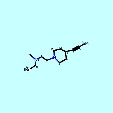 CC(C)C#CC1CCN(CCN(C)CC(C)(C)C)CC1